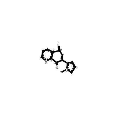 Cn1cccc1C1=CC(=O)c2cccnc2C1=O